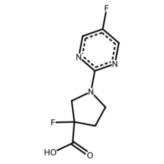 O=C(O)C1(F)CCN(c2ncc(F)cn2)C1